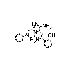 NC(N)=C(/C=C(\N)c1ccccc1O)N1CCN(c2ccccc2)CC1